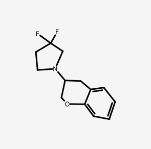 FC1(F)CCN(C2COc3ccccc3C2)C1